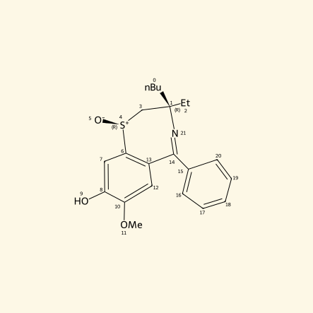 CCCC[C@]1(CC)C[S@+]([O-])c2cc(O)c(OC)cc2C(c2ccccc2)=N1